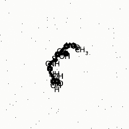 COc1ccc(CN2CCC(COC(=O)[C@](O)(c3ccccc3)c3cccc(-c4ccc(CNC(=O)c5ccc(CNC[C@H](O)c6ccc(O)c7[nH]c(=O)ccc67)cc5)s4)c3)CC2)cc1